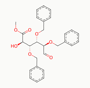 COC(=O)[C@H](O)[C@@H](OCc1ccccc1)[C@H](OCc1ccccc1)[C@H](C=O)OCc1ccccc1